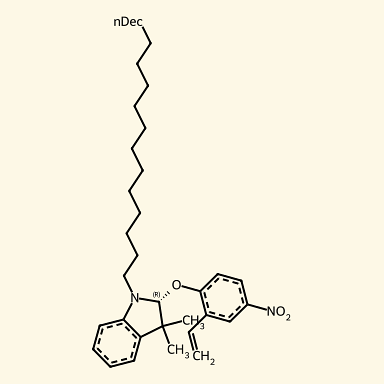 C=Cc1cc([N+](=O)[O-])ccc1O[C@H]1N(CCCCCCCCCCCCCCCCCCCCCC)c2ccccc2C1(C)C